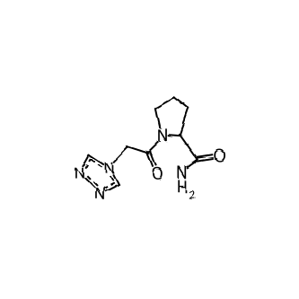 NC(=O)C1CCCN1C(=O)Cn1cnnc1